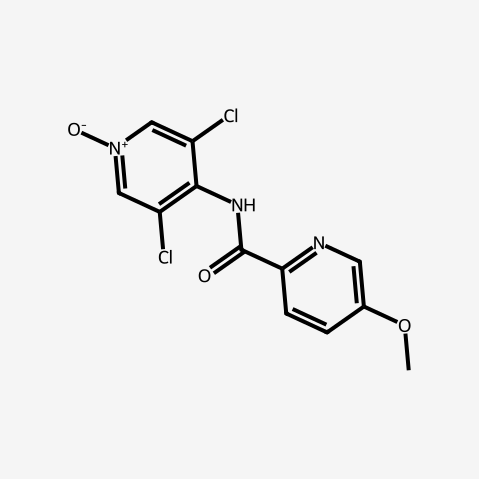 COc1ccc(C(=O)Nc2c(Cl)c[n+]([O-])cc2Cl)nc1